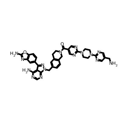 NCc1cnc(N2CCN(c3ncc(C(=O)N4CCc5cc(Cn6nc(-c7ccc8oc(N)nc8c7)c7c(N)ncnc76)ccc5C4)cn3)CC2)nc1